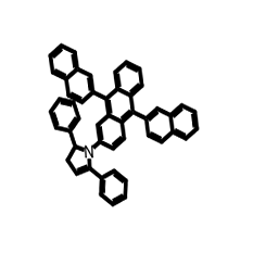 C1=C(c2ccccc2)N(c2ccc3c(-c4ccc5ccccc5c4)c4ccccc4c(-c4ccc5ccccc5c4)c3c2)C(c2ccccc2)C1